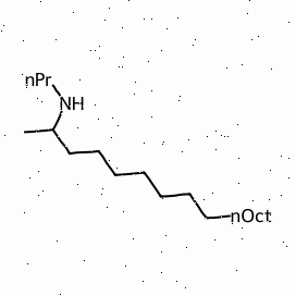 CCCCCCCCCCCCCCCC(C)NCCC